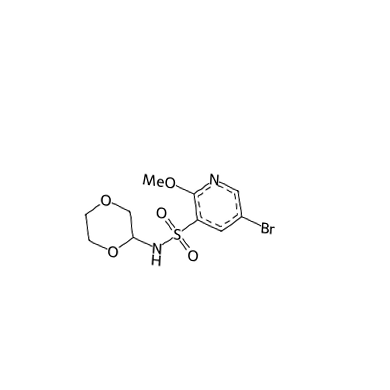 COc1ncc(Br)cc1S(=O)(=O)NC1COCCO1